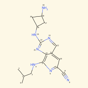 CC(C)CNc1nc(C#N)cc2cnc(NC3CC(N)C3)nc12